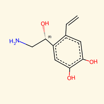 C=Cc1cc(O)c(O)cc1[C@@H](O)CN